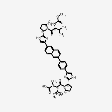 COC(=O)N[C@H](C(=O)N1[C@@H](C)CC[C@H]1c1nc(-c2ccc3cc(-c4ccc(-c5c[nH]c([C@@H]6CC[C@H](C)N6C(=O)[C@H](C(C)C)N(C)C(=O)O)n5)cc4)ccc3c2)c[nH]1)C(C)C